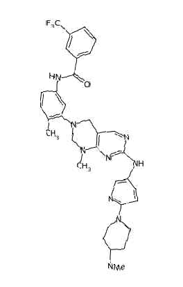 CNC1CCN(c2ccc(Nc3ncc4c(n3)N(C)CN(c3cc(NC(=O)c5cccc(C(F)(F)F)c5)ccc3C)C4)cn2)CC1